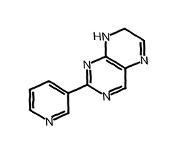 C1=Nc2cnc(-c3cccnc3)nc2NC1